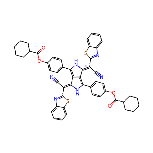 N#C/C(c1nc2ccccc2s1)=c1/[nH]c(-c2ccc(OC(=O)C3CCCCC3)cc2)c2/c(=C(\C#N)c3nc4ccccc4s3)[nH]c(-c3ccc(OC(=O)C4CCCCC4)cc3)c12